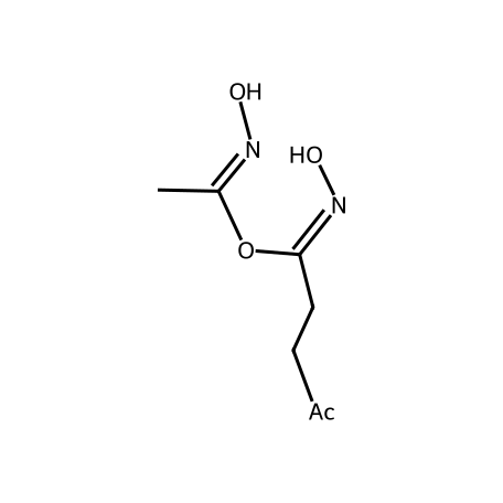 CC(=O)CCC(=NO)OC(C)=NO